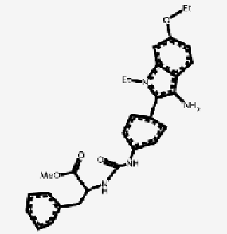 CCOc1ccc2c(N)c(-c3ccc(NC(=O)NC(Cc4ccccc4)C(=O)OC)cc3)n(CC)c2c1